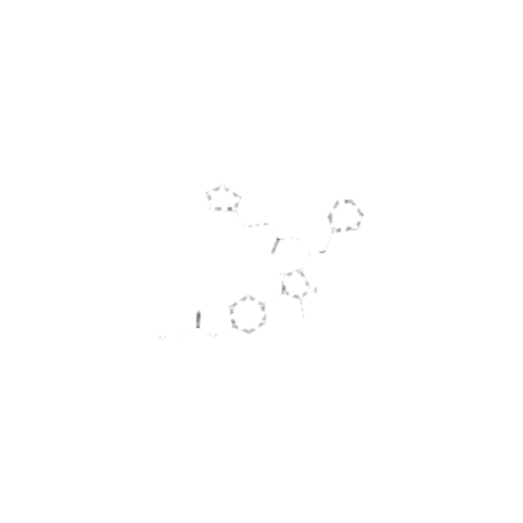 COC(=O)Nc1ccc(-c2nc([C@H](Cc3ccccc3)NC(=O)CCc3c[nH]cn3)[nH]c2Cl)cc1